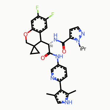 Cc1c[nH]c(C)c1-c1ccc(NC(=O)[C@@H](NC(=O)c2ccnn2C(C)C)C2c3cc(F)c(F)cc3OCC23CC3)cn1